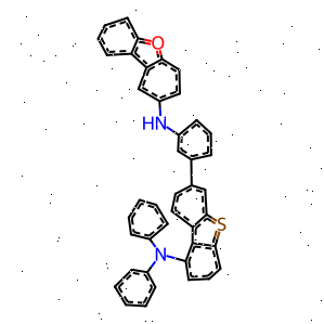 c1ccc(N(c2ccccc2)c2cccc3sc4cc(-c5cccc(Nc6ccc7oc8ccccc8c7c6)c5)ccc4c23)cc1